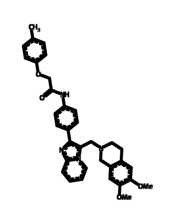 COc1cc2c(cc1OC)CN(Cc1c(-c3ccc(NC(=O)COc4ccc(C)cc4)cc3)nc3ccccn13)CC2